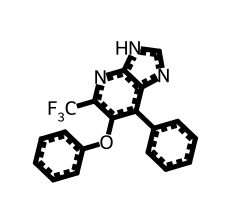 FC(F)(F)c1nc2[nH]cnc2c(-c2ccccc2)c1Oc1ccccc1